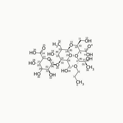 CCCO[C@H](OC(C(=O)O)[C@H](CO)O[C@H]1OC(CO)[C@@H](O[C@@H]2OC(C(=O)O)[C@@H](O)C(O)[C@@H]2O)[C@H](O)C1C)[C@H](C)O